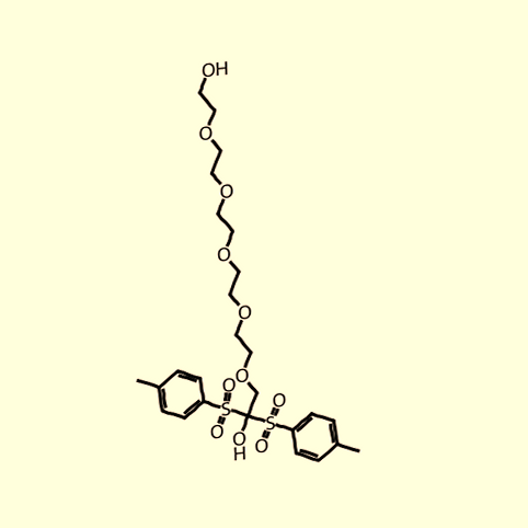 Cc1ccc(S(=O)(=O)C(O)(COCCOCCOCCOCCOCCO)S(=O)(=O)c2ccc(C)cc2)cc1